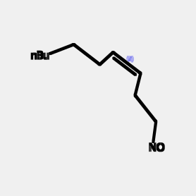 CCCCCC/C=C\CCN=O